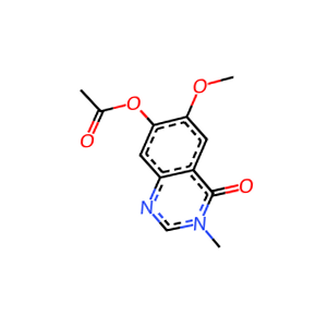 COc1cc2c(=O)n(C)cnc2cc1OC(C)=O